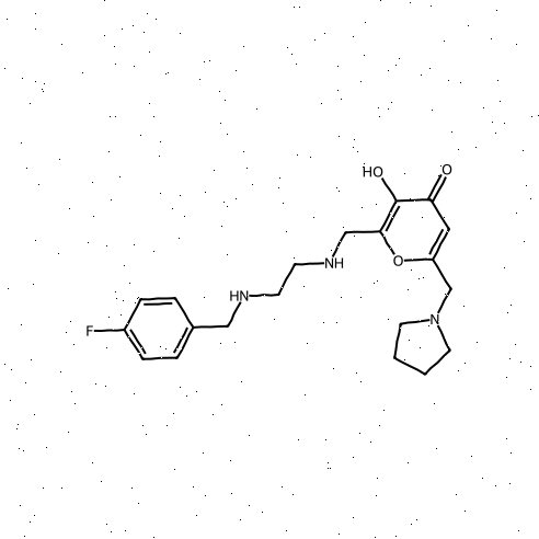 O=c1cc(CN2CCCC2)oc(CNCCNCc2ccc(F)cc2)c1O